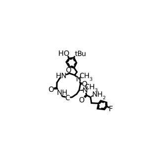 CN1C(=O)[C@@H](N(C)C(=O)[C@@H](N)Cc2ccc(F)cc2)CCCCNC(=O)CCNC(=O)C1Cc1ccc(O)c(C(C)(C)C)c1